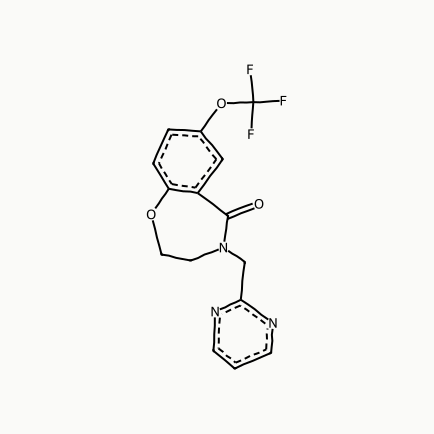 O=C1c2cc(OC(F)(F)F)ccc2OCCN1Cc1ncccn1